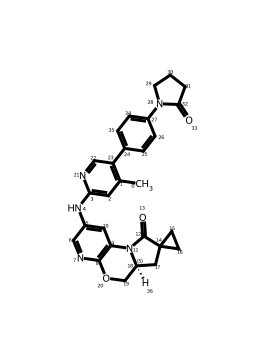 Cc1cc(Nc2cnc3c(c2)N2C(=O)C4(CC4)C[C@H]2CO3)ncc1-c1ccc(N2CCCC2=O)cc1